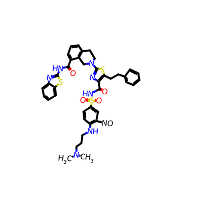 CN(C)CCCNc1ccc(S(=O)(=O)NC(=O)c2nc(N3CCc4cccc(C(=O)Nc5nc6ccccc6s5)c4C3)sc2CCc2ccccc2)cc1N=O